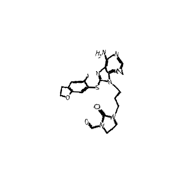 Nc1ncnc2c1nc(Sc1cc3c(cc1I)CCO3)n2CCCN1CCN(C=O)C1=O